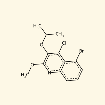 COc1nc2cccc(Br)c2c(Cl)c1OC(C)C